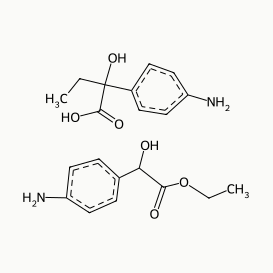 CCC(O)(C(=O)O)c1ccc(N)cc1.CCOC(=O)C(O)c1ccc(N)cc1